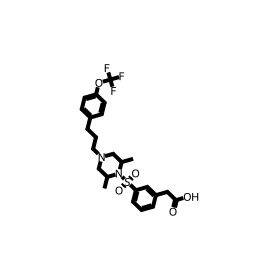 CC1CN(CCCc2ccc(OC(F)(F)F)cc2)CC(C)N1S(=O)(=O)c1cccc(CC(=O)O)c1